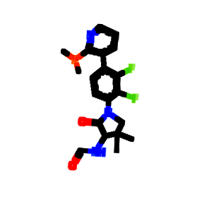 CP(C)c1ncccc1-c1ccc(N2CC(C)(C)C(NC=O)C2=O)c(F)c1F